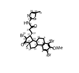 COc1c(Br)cc2c(c1Br)CCC1C2CC[C@]2(C)C(=O)C(Br)[C@@H](CCC(=O)Nc3ncc(C)s3)C12